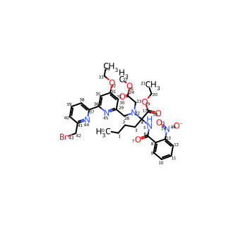 CCCCC(NC(=O)c1ccccc1[N+](=O)[O-])(C(=O)OCC)N(CC(=O)OC)Cc1cc(OCC)cc(-c2cccc(CBr)n2)n1